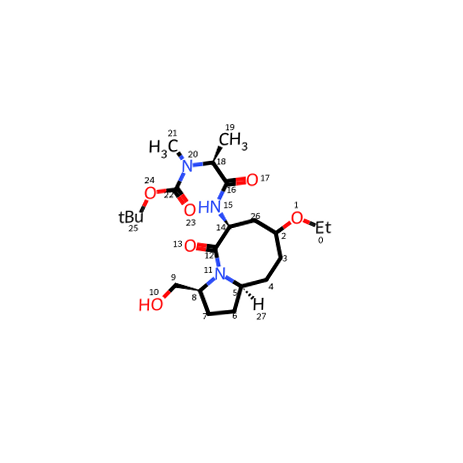 CCOC1CC[C@H]2CC[C@@H](CO)N2C(=O)[C@@H](NC(=O)[C@H](C)N(C)C(=O)OC(C)(C)C)C1